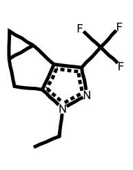 CCn1nc(C(F)(F)F)c2c1CC1CC21